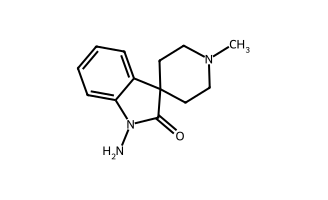 CN1CCC2(CC1)C(=O)N(N)c1ccccc12